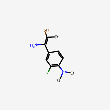 CC/C(S)=C(/N)c1ccc(N(CC)CC)c(F)c1